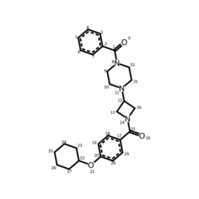 O=C(c1ccccc1)N1CCN(C2CN(C(=O)c3ccc(OC4CCCCC4)cc3)C2)CC1